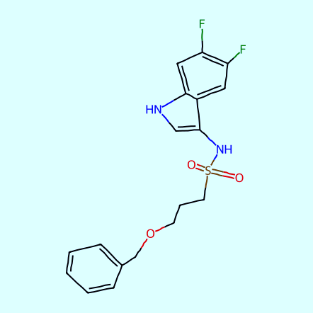 O=S(=O)(CCCOCc1ccccc1)Nc1c[nH]c2cc(F)c(F)cc12